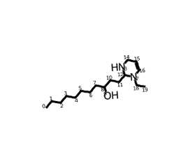 CCCCCCCCC(O)CCC1NCC=CN1CC